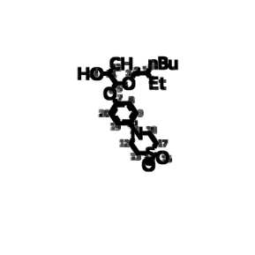 CCCCC(CC)COC(Oc1ccc(N2CCS(=O)(=O)CC2)cc1)C(C)O